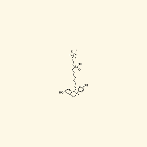 CC1(c2ccc(O)cc2)CSc2cc(O)ccc2C1CCCCCCCC[C@@H](CCCC(F)(F)C(F)(F)F)C(=O)O